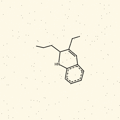 CCCC1Nc2ccccc2C=C1CC